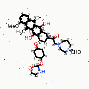 C=c1c2cccc(OC)c2c(=C)c2c(O)c3c(c(O)c12)CC(C(=O)CN1CCCN(C=O)CC1)C[C@@H]3OC1CCC(OC2COCCN2)CC1